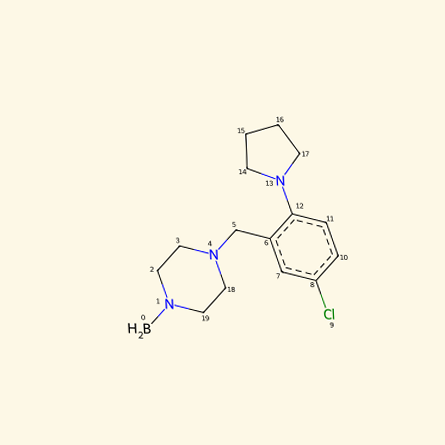 BN1CCN(Cc2cc(Cl)ccc2N2CCCC2)CC1